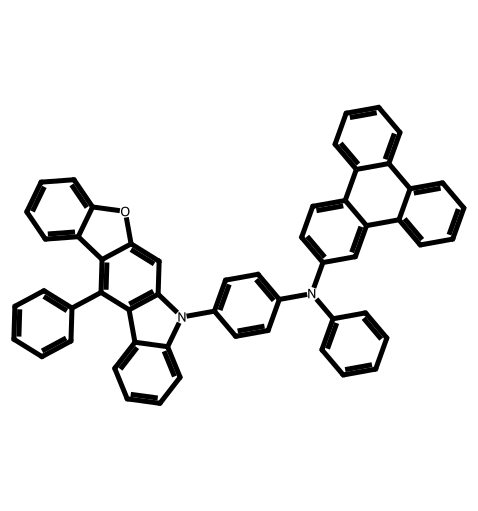 c1ccc(-c2c3c(cc4c2c2ccccc2n4-c2ccc(N(c4ccccc4)c4ccc5c6ccccc6c6ccccc6c5c4)cc2)oc2ccccc23)cc1